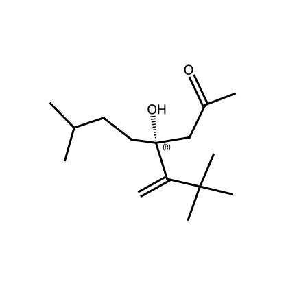 C=C(C(C)(C)C)[C@@](O)(CCC(C)C)CC(C)=O